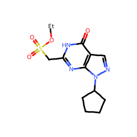 CCOS(=O)(=O)Cc1nc2c(cnn2C2CCCC2)c(=O)[nH]1